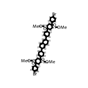 COCOC1(C2=CC=C(Br)CC2)CCC(OCOC)(C2=CC=C(C3=CC4=CCC(C5CC=C(C6(OCOC)CCC(OCOC)(c7ccc(Br)cc7)CC6)CC5)C=C4CC3)CC2)CC1